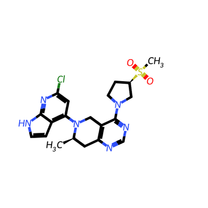 C[C@@H]1Cc2ncnc(N3CC[C@@H](S(C)(=O)=O)C3)c2CN1c1cc(Cl)nc2[nH]ccc12